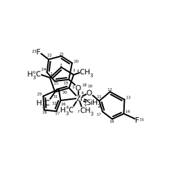 CC1=CC(C)[C]([Zr]([CH3])([CH3])(=[SiH2])([O]c2ccc(F)cc2)([O]c2ccc(F)cc2)[C]2=CC=CC2)=C1C